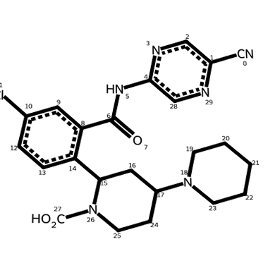 N#Cc1cnc(NC(=O)c2cc(Cl)ccc2C2CC(N3CCCCC3)CCN2C(=O)O)cn1